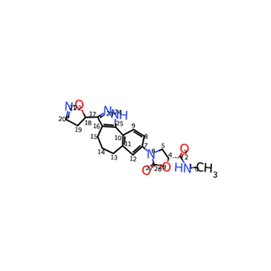 CNC(=O)[C@H]1CN(c2ccc3c(c2)CCCc2c(C4CC=NO4)n[nH]c2-3)C(=O)O1